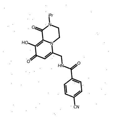 CC(C)N1CCn2c(CNC(=O)c3ccc(C#N)cc3)cc(=O)c(O)c2C1=O